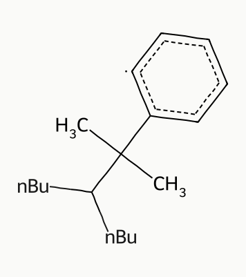 CCCCC(CCCC)C(C)(C)c1[c]cccc1